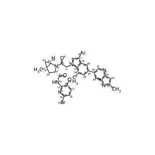 CC(=O)c1cn(CC(=O)N2[C@H](C(=O)Nc3nc(Br)ccc3Cl)C[C@@]3(C)C[C@@H]23)c2c(C)cc(-c3cnc4cc(C)nn4c3)cc12